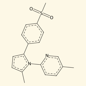 Cc1ccc(-n2c(C)ccc2-c2ccc(S(C)(=O)=O)cc2)nc1